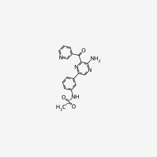 CS(=O)(=O)Nc1cccc(-c2cnc(N)c(C(=O)c3cccnc3)n2)c1